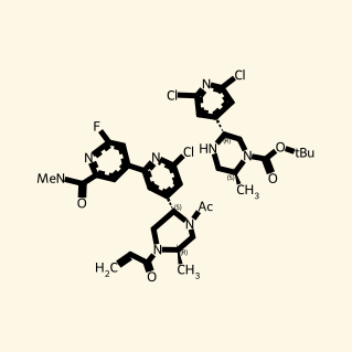 C=CC(=O)N1C[C@H](c2cc(Cl)nc(-c3cc(F)nc(C(=O)NC)c3)c2)N(C(C)=O)C[C@H]1C.C[C@H]1CN[C@H](c2cc(Cl)nc(Cl)c2)CN1C(=O)OC(C)(C)C